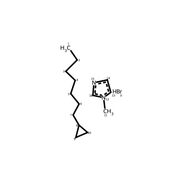 Br.CCCCCCCC1CC1.Cn1ccnc1